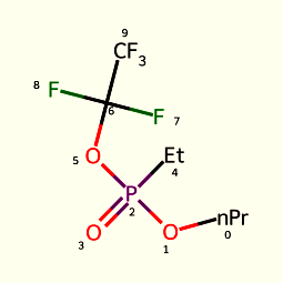 CCCOP(=O)(CC)OC(F)(F)C(F)(F)F